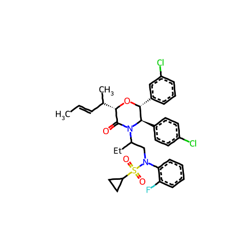 CC=CC(C)[C@@H]1O[C@H](c2cccc(Cl)c2)[C@@H](c2ccc(Cl)cc2)N(C(CC)CN(c2ccccc2F)S(=O)(=O)C2CC2)C1=O